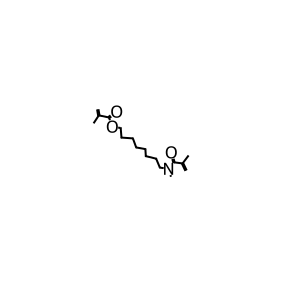 C=C(C)C(=O)OCCCCCCCCN(C)C(=O)C(=C)C